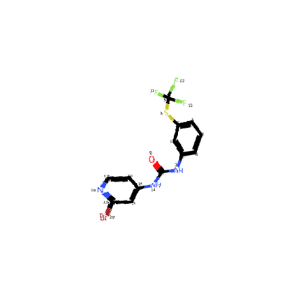 O=C(Nc1cccc(SC(F)(F)F)c1)Nc1ccnc(Br)c1